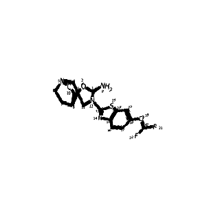 NC1OC2(CN3CCC2CC3)CN1c1nc2ccc(OC(F)F)cc2s1